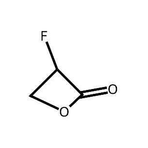 O=C1OCC1F